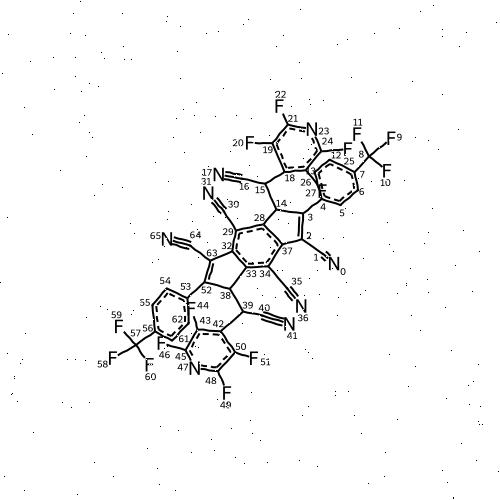 N#CC1=C(c2ccc(C(F)(F)F)cc2)C(C(C#N)c2c(F)c(F)nc(F)c2F)c2c(C#N)c3c(c(C#N)c21)C(C(C#N)c1c(F)c(F)nc(F)c1F)C(c1ccc(C(F)(F)F)cc1)=C3C#N